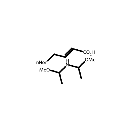 CCCCCCCCCCC=CC(=O)O.COC(C)NC(C)OC